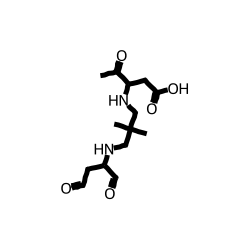 CC(=O)C(CC(=O)O)NCC(C)(C)CNC(C=O)CC=O